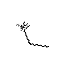 CCCCCCCCC/C=C\CCCCCCOP(=O)(O)C(CC)[N+](C)(C)C